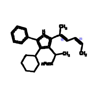 C/C=C\C=C(/C)c1[nH]c(-c2ccccc2)c(C2CCCCC2)c1C(C)CCCCC